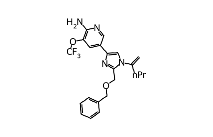 C=C(CCC)n1cc(-c2cnc(N)c(OC(F)(F)F)c2)nc1COCc1ccccc1